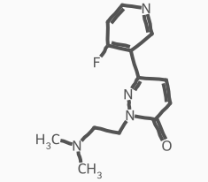 CN(C)CCn1nc(-c2cnccc2F)ccc1=O